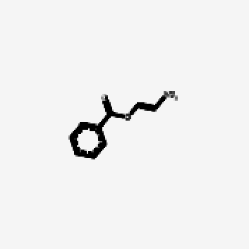 O=C(O/C=C/[N+](=O)[O-])c1ccccc1